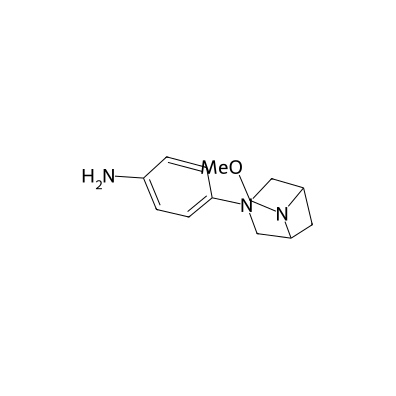 COCN1C2CC1CN(c1ccc(N)cc1)C2